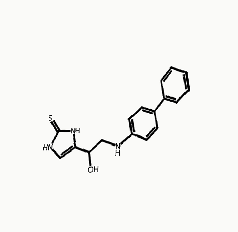 OC(CNc1ccc(-c2ccccc2)cc1)c1c[nH]c(=S)[nH]1